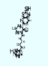 CC(C)CN(C(=O)NCCCCCc1nnn[nH]1)c1ccc2nc(S)sc2n1